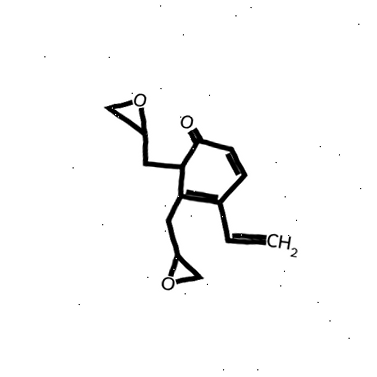 C=CC1=C(CC2CO2)C(CC2CO2)C(=O)C=C1